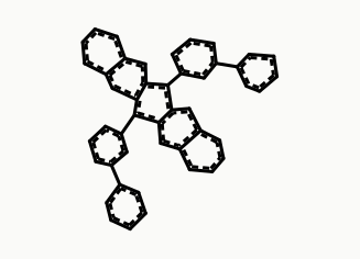 c1ccc(-c2cccc(-c3c4cc5ccccc5cc4c(-c4cccc(-c5ccccc5)c4)c4cc5ccccc5cc34)c2)cc1